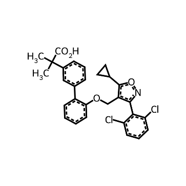 CC(C)(C(=O)O)c1cccc(-c2ccccc2OCc2c(-c3c(Cl)cccc3Cl)noc2C2CC2)c1